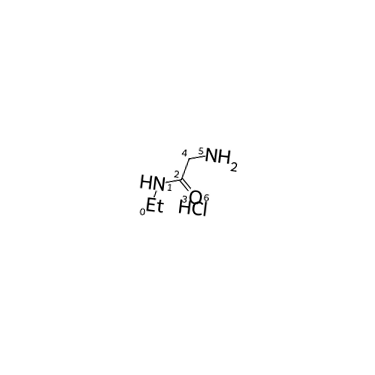 CCNC(=O)CN.Cl